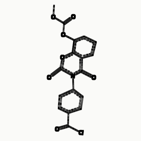 COC(=O)Oc1cccc2c(=O)n(-c3ccc(C(=O)Cl)cc3)c(=O)oc12